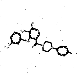 Cc1cccc(Nc2c(C(=O)N3CCC(c4ccc(F)cc4)CC3)cnc(S)c2C)c1